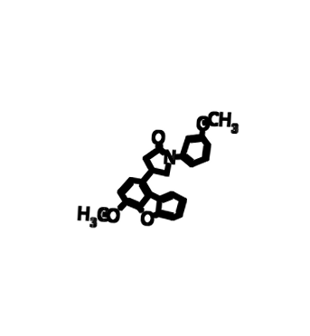 COc1cccc(N2CC(c3ccc(OC)c4oc5ccccc5c34)CC2=O)c1